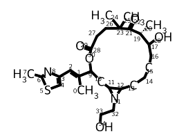 C/C(=C\c1csc(C)n1)C1CC2C(CCCCC(O)[C@@H](C)C(=O)C(C)(C)CCC(=O)O1)N2CCO